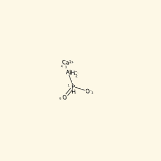 O=[PH]([O-])[AlH2-].[Ca+2]